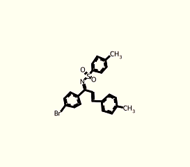 Cc1ccc(/C=C/C(=N\S(=O)(=O)c2ccc(C)cc2)c2ccc(Br)cc2)cc1